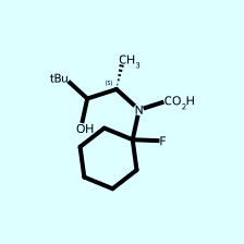 C[C@@H](C(O)C(C)(C)C)N(C(=O)O)C1(F)CCCCC1